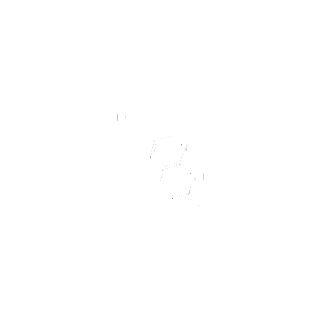 C#Cc1cnc2c(c1)OCC(=O)N2